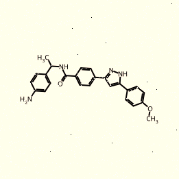 COc1ccc(-c2cc(-c3ccc(C(=O)NC(C)c4ccc(N)cc4)cc3)n[nH]2)cc1